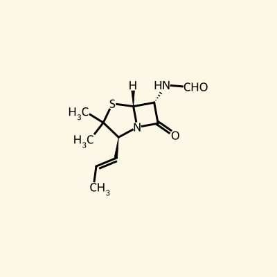 CC=C[C@@H]1N2C(=O)[C@@H](NC=O)[C@H]2SC1(C)C